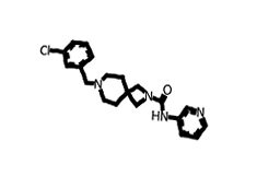 O=C(Nc1cccnc1)N1CC2(CCN(Cc3cccc(Cl)c3)CC2)C1